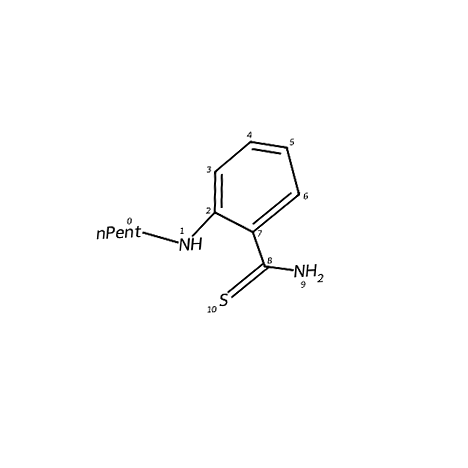 CCCCCNc1ccccc1C(N)=S